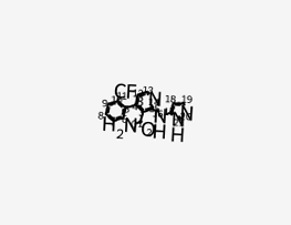 NC(=O)c1c(-c2ccccc2C(F)(F)F)ccnc1Nc1ccn[nH]1